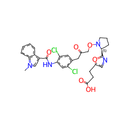 Cn1cc(C(=O)Nc2cc(Cl)c(CC(=O)CON3CCC[C@H]3c3ncc(CCC(=O)O)o3)cc2Cl)c2ccccc21